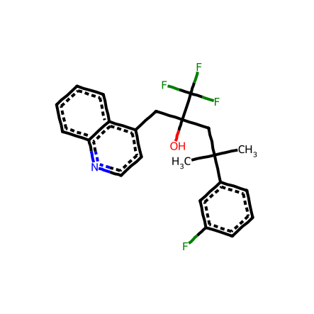 CC(C)(CC(O)(Cc1ccnc2ccccc12)C(F)(F)F)c1cccc(F)c1